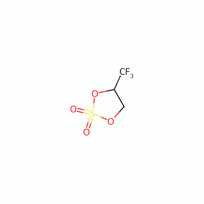 O=S1(=O)OCC(C(F)(F)F)O1